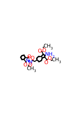 CCOC(=O)c1c2ccc(CC(=O)N(OCC)N3C(=O)c4ccccc4C3=O)ccc-2c(C(=O)OCC)c1N